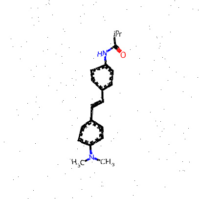 CC(C)C(=O)Nc1ccc(C=Cc2ccc(N(C)C)cc2)cc1